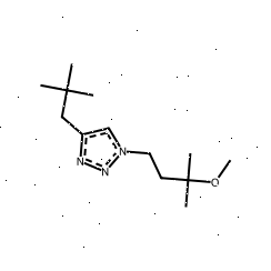 COC(C)(C)CCn1cc(CC(C)(C)C)nn1